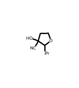 CC(C)C1OCCC1(O)C#N